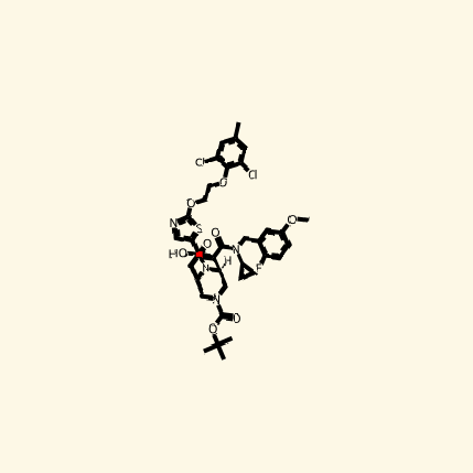 COc1ccc(F)c(CN(C(=O)C2=C(c3cnc(OCCOc4c(Cl)cc(C)cc4Cl)s3)CC3CN(C(=O)OC(C)(C)C)C[C@H]2N3C(=O)O)C2CC2)c1